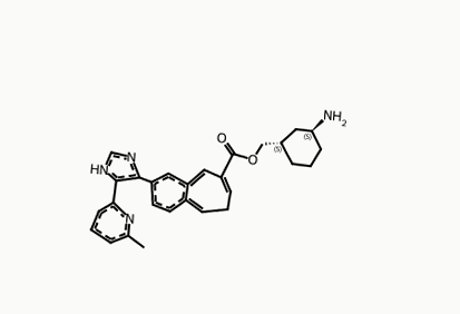 Cc1cccc(-c2[nH]cnc2-c2ccc3c(c2)=CC(C(=O)OC[C@H]2CCC[C@H](N)C2)=CCC=3)n1